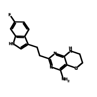 Nc1nc(CCc2c[nH]c3cc(F)ccc23)nc2c1OCCN2